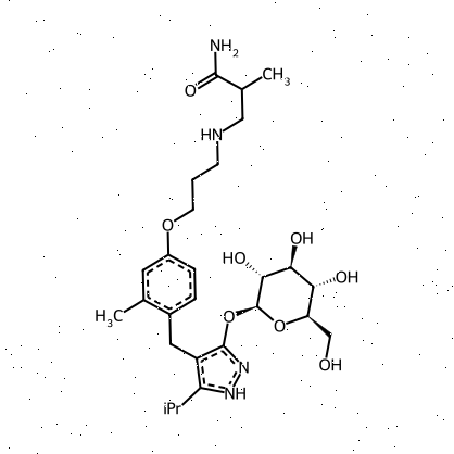 Cc1cc(OCCCNCC(C)C(N)=O)ccc1Cc1c(O[C@@H]2O[C@H](CO)[C@@H](O)[C@H](O)[C@H]2O)n[nH]c1C(C)C